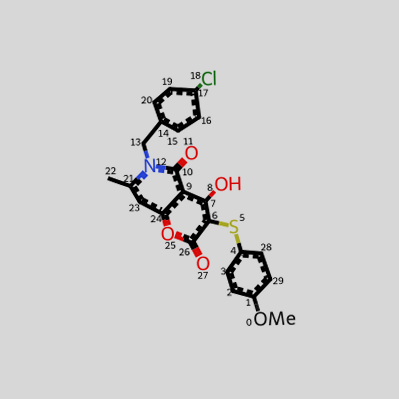 COc1ccc(Sc2c(O)c3c(=O)n(Cc4ccc(Cl)cc4)c(C)cc3oc2=O)cc1